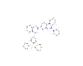 O=P(c1ccccc1)(c1ccccc1)c1ccc(-c2nc(-c3ccc4c(c3)nc(-c3ccccc3)c3ccccc34)nc3ccccc23)cc1